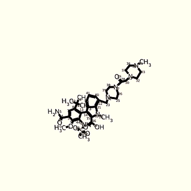 COc1c(C(N)=O)cc(C(C)(C)C)c(-c2c(C(=O)O)n(C)c3c(CN4CCN(C(=O)CN5CCN(C)CC5)CC4)cccc23)c1NS(C)(=O)=O